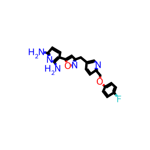 Nc1ccc(-c2cc(Cc3ccc(COc4ccc(F)cc4)nc3)no2)c(N)n1